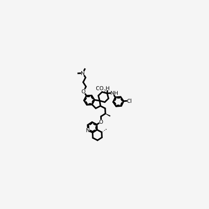 C[C@@H](COc1ccnc2c1[C@H](C)CCC2)CC1Cc2ccc(OCCCN(C)C)cc2C12CCC(Nc1cccc(Cl)c1)(C(=O)O)CC2